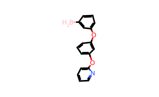 Bc1cccc(Oc2cccc(Oc3ccccn3)c2)c1